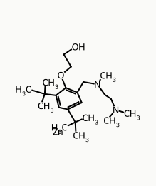 CN(C)CCN(C)Cc1cc(C(C)(C)C)cc(C(C)(C)C)c1OCCO.[Zn]